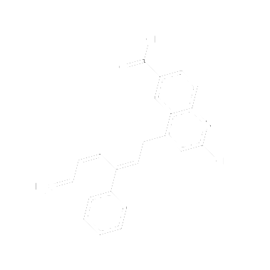 C=C/C=C\C(=C/Cc1cc(C)nc2ccc(C(=O)O)cc12)c1ccccc1